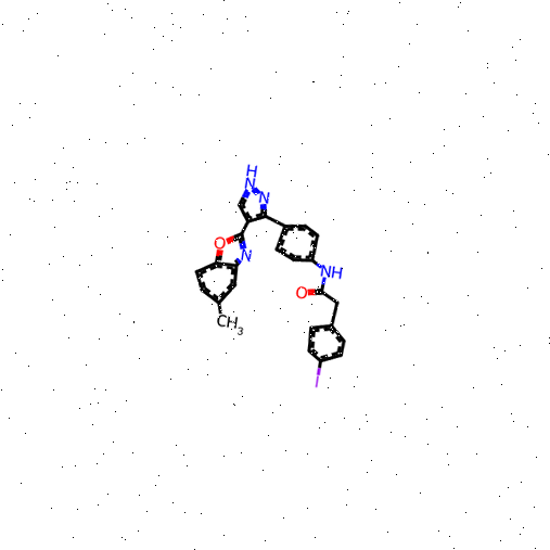 Cc1ccc2oc(-c3c[nH]nc3-c3ccc(NC(=O)Cc4ccc(I)cc4)cc3)nc2c1